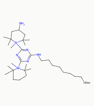 CCCCCCCCCCCCCCCCCCNc1nc([N+]2(C)C(C)(C)CCCC2(C)C)nc([N+]2(C)C(C)(C)CC(N)CC2(C)C)n1